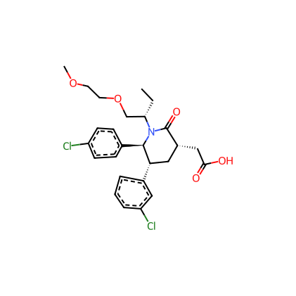 CC[C@@H](COCCOC)N1C(=O)[C@H](CC(=O)O)C[C@H](c2cccc(Cl)c2)[C@H]1c1ccc(Cl)cc1